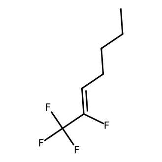 CCCCC=C(F)C(F)(F)F